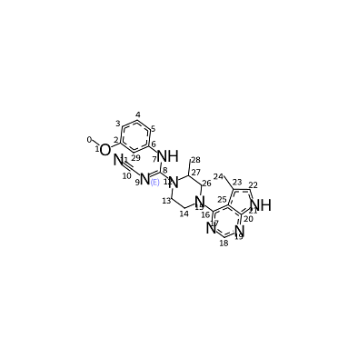 COc1cccc(N/C(=N\C#N)N2CCN(c3ncnc4[nH]cc(C)c34)CC2C)c1